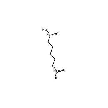 O=[13C](O)CCCCC[13C](=O)O